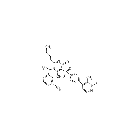 CCCCc1nc(=O)c(S(=O)(=O)c2ccc(-c3ccnc(F)c3C)cc2)c(O)n1[C@H](C)c1cccc(C#N)c1